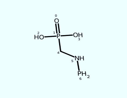 O=P(O)(O)CNP